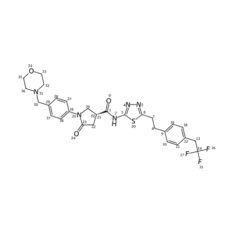 O=C(Nc1nnc(CCc2ccc(CC(F)(F)F)cc2)s1)[C@H]1CC(=O)N(c2ccc(CN3CCOCC3)cc2)C1